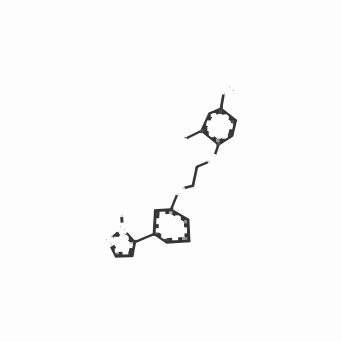 Cn1nccc1-c1cccc(OCCOc2ccc(C#N)cc2Cl)c1